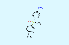 Bc1ccc(S(=C)(=O)c2ccc(N)cc2)cc1